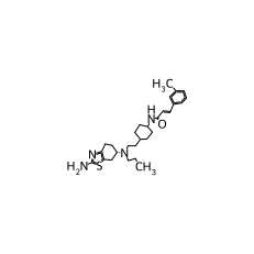 CCCN(CCC1CCC(NC(=O)/C=C/c2cccc(C)c2)CC1)[C@H]1CCc2nc(N)sc2C1